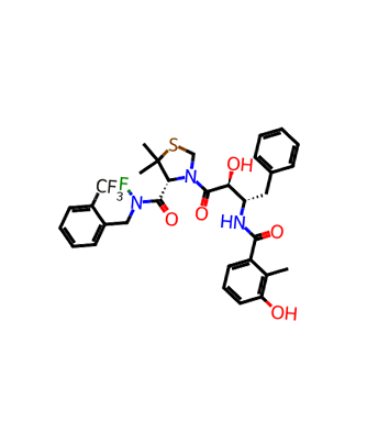 Cc1c(O)cccc1C(=O)N[C@@H](Cc1ccccc1)[C@H](O)C(=O)N1CSC(C)(C)[C@H]1C(=O)N(F)Cc1ccccc1C(F)(F)F